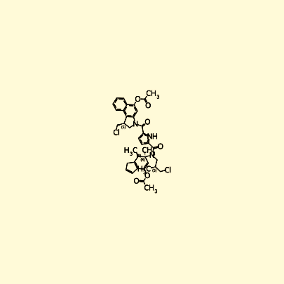 CC(=O)OC1=C[C@](C)(N(C[C@H](C)CCl)C(=O)c2ccc(C(=O)N3C[C@@H](CCl)c4c3cc(OC(C)=O)c3ccccc43)[nH]2)[C@H](C)C2=C1C=CC2